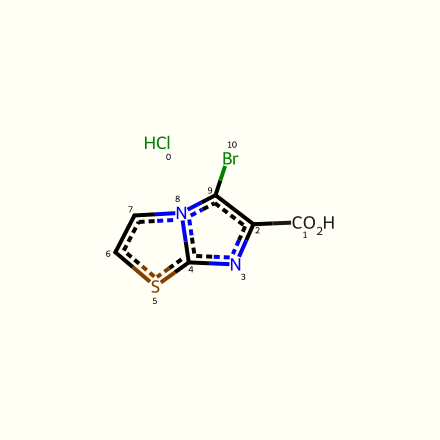 Cl.O=C(O)c1nc2sccn2c1Br